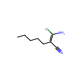 CCCCCC(C#N)=C(N)Cl